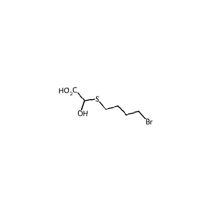 O=C(O)C(O)SCCCCBr